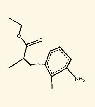 CCOC(=O)C(C)Cc1cccc(N)c1C